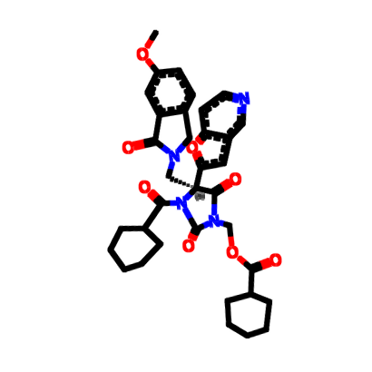 COc1ccc2c(c1)C(=O)N(C[C@]1(c3cc4cnccc4o3)C(=O)N(COC(=O)C3CCCCC3)C(=O)N1C(=O)C1CCCCC1)C2